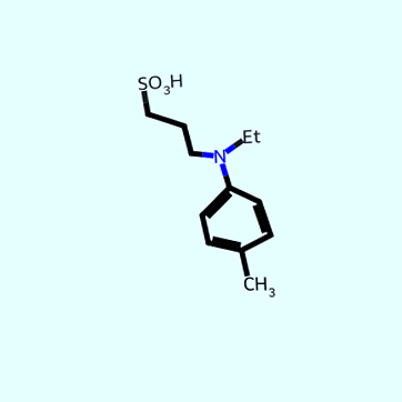 CCN(CCCS(=O)(=O)O)c1ccc(C)cc1